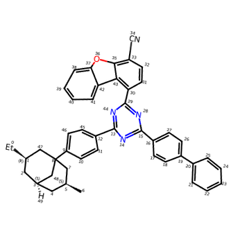 CC[C@@H]1C[C@@H]2C[C@H](C)CC(c3ccc(-c4nc(-c5ccc(-c6ccccc6)cc5)nc(-c5ccc(C#N)c6oc7ccccc7c56)n4)cc3)(C1)C2